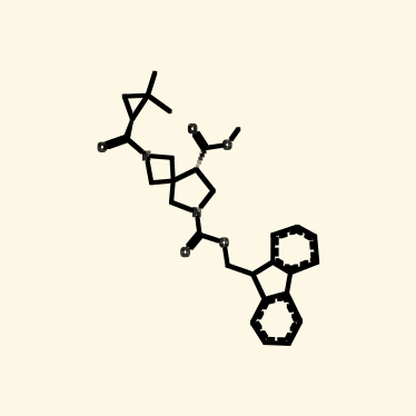 COC(=O)[C@@H]1CN(C(=O)OCC2c3ccccc3-c3ccccc32)CC12CN(C(=O)[C@H]1CC1(C)C)C2